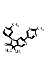 Cc1cc(N2C(=O)C(C)(C)c3cnc(-c4cnc(C)nc4)cc32)ccn1